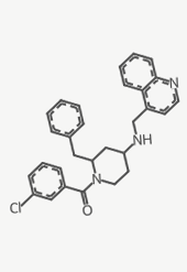 O=C(c1cccc(Cl)c1)N1CCC(NCc2ccnc3ccccc23)CC1Cc1ccccc1